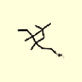 CCC(C)(C)C(C)(CCN)CC(C)C